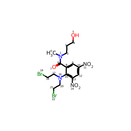 CN(CCCO)C(=O)c1cc([N+](=O)[O-])cc([N+](=O)[O-])c1N(CCBr)CCBr